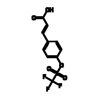 O=C(O)C=Cc1ccc(OS(=O)(=O)C(F)(F)F)cc1